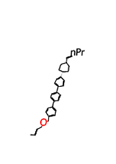 C/C=C/COCc1ccc(-c2ccc(-c3ccc([C@H]4CC[C@H](/C=C/CCC)CC4)cc3)cc2)cc1